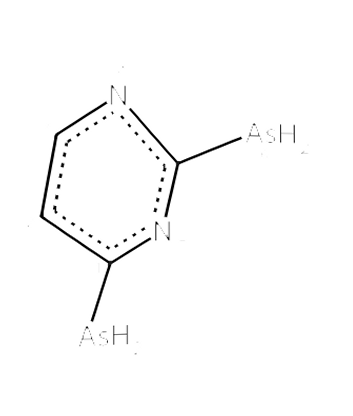 [AsH2]c1ccnc([AsH2])n1